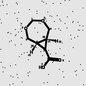 O=C(O)C1[C@H]2COCOC[C@@H]12